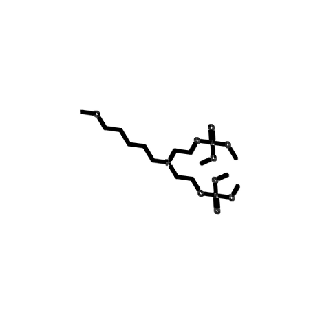 COCCCCCN(CCOP(=O)(OC)OC)CCOP(=O)(OC)OC